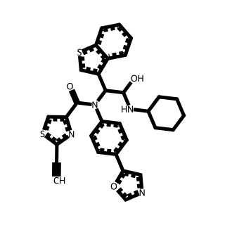 C#Cc1nc(C(=O)N(c2ccc(-c3cnco3)cc2)C(c2csc3ccccc23)C(O)NC2CCCCC2)cs1